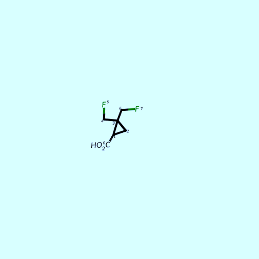 O=C(O)C1CC1(CF)CF